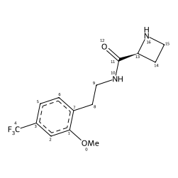 COc1cc(C(F)(F)F)ccc1CCNC(=O)[C@@H]1CCN1